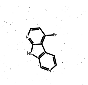 Brc1ccnc2[nH]c3cnccc3c12